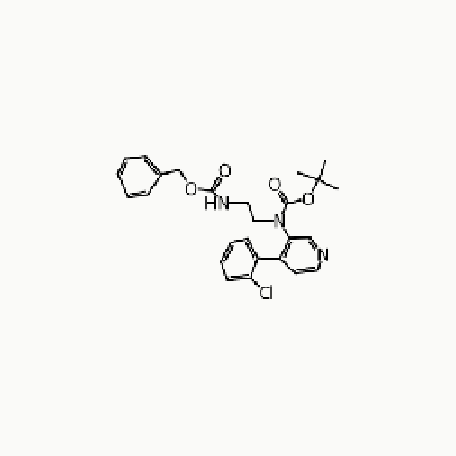 CC(C)(C)OC(=O)N(CCNC(=O)OCc1ccccc1)c1cnccc1-c1ccccc1Cl